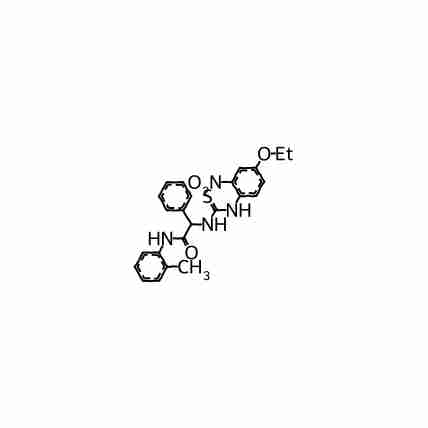 CCOc1ccc(NC(=S)NC(C(=O)Nc2ccccc2C)c2ccccc2)c([N+](=O)[O-])c1